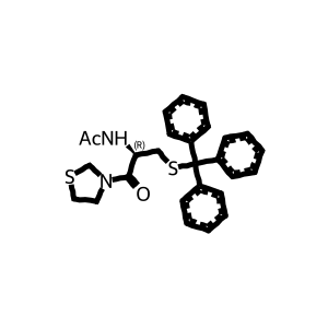 CC(=O)N[C@@H](CSC(c1ccccc1)(c1ccccc1)c1ccccc1)C(=O)N1CCSC1